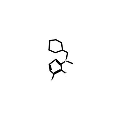 CN(CC1CCCCC1)c1cccc(F)c1F